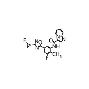 Cc1c(F)cc(-c2nc([C@H]3C[C@@H]3F)no2)cc1NC(=O)c1cnc2ccccn12